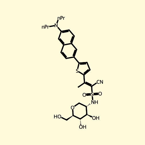 CCCN(CCC)c1ccc2cc(-c3ccc(/C(C)=C(\C#N)S(=O)(=O)N[C@H]4CO[C@H](CO)[C@@H](O)[C@@H]4O)s3)ccc2c1